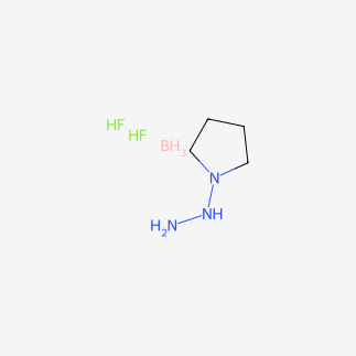 B.F.F.NNN1CCCC1